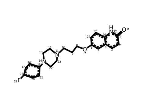 O=c1ccc2cc(OCCCN3CCN(c4ccc(F)cc4)CC3)ccc2[nH]1